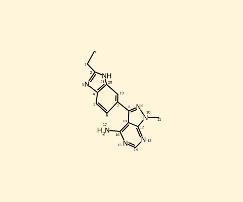 CCc1nc2ccc(-c3nn(C)c4ncnc(N)c34)cc2[nH]1